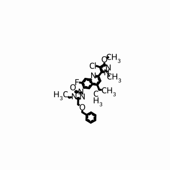 CCn1c(COCc2ccccc2)nn(-c2cc3c(C(C)C)cc(-c4c(Cl)c(OC)nn4C)nc3cc2F)c1=O